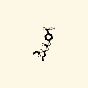 C=CC(=O)OC(CCC)OC(=O)Oc1ccc(C(=O)O)cc1